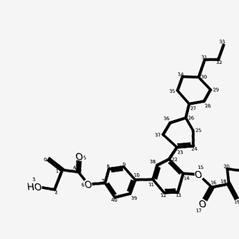 C=C(CO)C(=O)Oc1ccc(-c2ccc(OC(=O)C(=C)CO)c(C3=CCC(C4CCC(CCC)CC4)CC3)c2)cc1